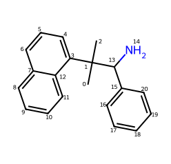 CC(C)(c1cccc2ccccc12)C(N)c1ccccc1